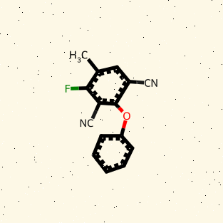 Cc1cc(C#N)c(Oc2ccccc2)c(C#N)c1F